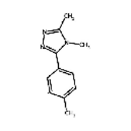 Cc1[c]cc(-c2nnc(C)n2C)cc1